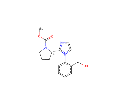 CC(C)(C)OC(=O)N1CCC[C@H]1c1nccn1-c1ccccc1CO